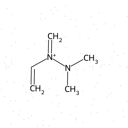 C=C[N+](=C)N(C)C